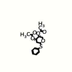 CC(=O)O[C@H]1COC(Sc2ccccc2)C[C@H]1OC(C)=O